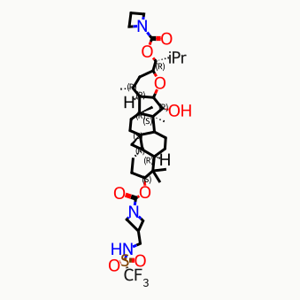 CC(C)[C@@H](OC(=O)N1CCC1)C1C[C@@H](C)[C@H]2C(O1)[C@H](O)[C@@]1(C)C3CC[C@H]4C(C)(C)[C@@H](OC(=O)N5CC(CNS(=O)(=O)C(F)(F)F)C5)CC[C@@]45C[C@@]35CC[C@]21C